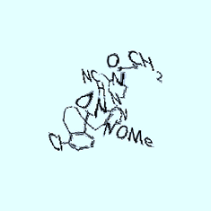 C=CC(=O)N1CCN(c2nc(OC)nc3c2NC(=O)C2(CCCc4c(Cl)cccc42)C3)CC1CC#N